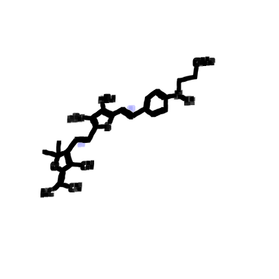 CCCCc1c(/C=C/C2=C(C#N)C(=C(C#N)C#N)OC2(C)C)sc(/C=C/c2ccc(N(CC)CCOC)cc2)c1CCCC